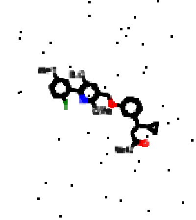 COC(=O)CC(c1cccc(OCc2cc(OCC(C)C)c(-c3cc(OC)ccc3F)nc2OC)c1)C1CC1